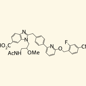 COC(CNC(C)=O)Cn1c(Cc2ccc(-c3cccc(OCc4ccc(C#N)cc4F)n3)cc2)nc2ccc(C(=O)O)cc21